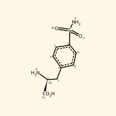 N[C@@H](Cc1ccc(S(N)(=O)=O)cc1)C(=O)O